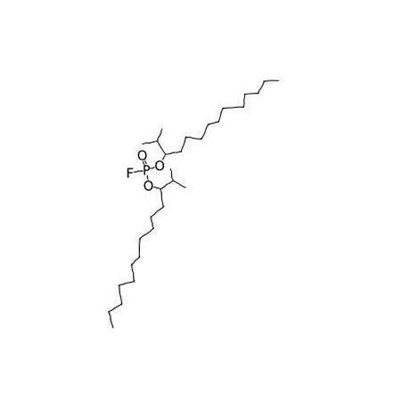 CCCCCCCCCCCC(OP(=O)(F)OC(CCCCCCCCCCC)C(C)C)C(C)C